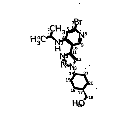 CC(C)Nc1cc(Br)ncc1-c1cn([C@H]2CC[C@H](CO)CC2)nn1